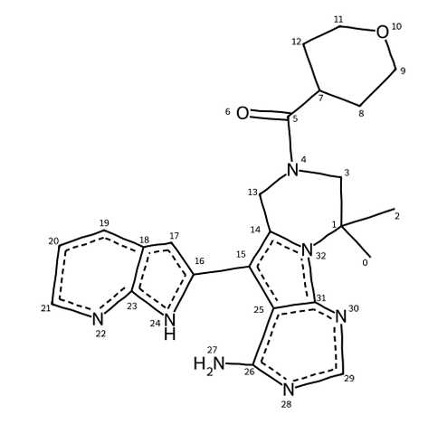 CC1(C)CN(C(=O)C2CCOCC2)Cc2c(-c3cc4cccnc4[nH]3)c3c(N)ncnc3n21